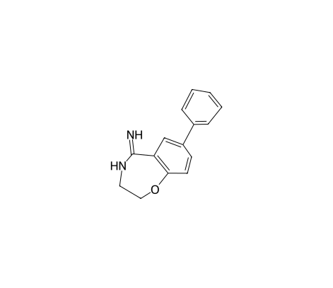 N=C1NCCOc2ccc(-c3ccccc3)cc21